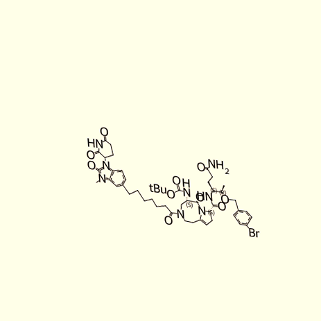 C[C@@H](OCc1ccc(Br)cc1)[C@H](CCC(N)=O)NC(=O)[C@@H]1CC=C2CCN(C(=O)CCCCCCc3ccc4c(c3)n(C)c(=O)n4C3CCC(=O)NC3=O)C[C@H](NC(=O)OC(C)(C)C)C(=O)N21